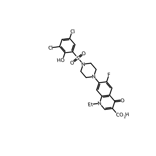 CCn1cc(C(=O)O)c(=O)c2cc(F)c(N3CCN(S(=O)(=O)c4cc(Cl)cc(Cl)c4O)CC3)cc21